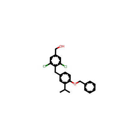 CC(C)c1cc(Cc2c(Cl)cc(CO)cc2Cl)ccc1OCc1ccccc1